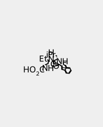 CCC(CCNC(=O)O)NC(=O)[C@H](CC(C)C)NC(=O)c1cc2ccccc2s1